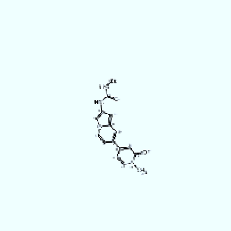 CCNC(=O)Nc1cn2ccc(-c3ccn(C)c(=O)c3)cc2n1